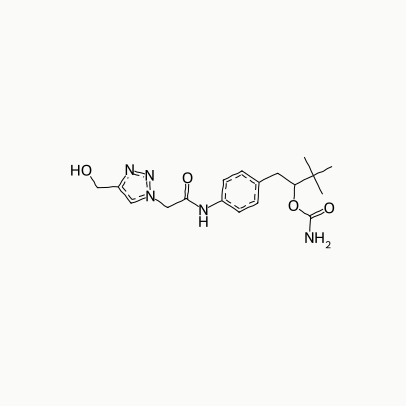 CC(C)(C)C(Cc1ccc(NC(=O)Cn2cc(CO)nn2)cc1)OC(N)=O